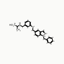 CC(NCc1cccc(OCc2ccc3c(cnn3Cc3ccccc3)c2)c1)C(=O)O